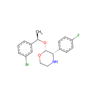 C[C@@H](O[C@H]1OCCN[C@H]1c1ccc(F)cc1)c1cccc(Br)c1